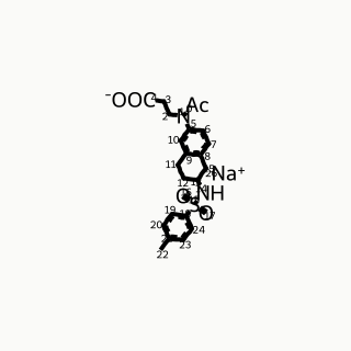 CC(=O)N(CCC(=O)[O-])c1ccc2c(c1)CCC(NS(=O)(=O)c1ccc(C)cc1)C2.[Na+]